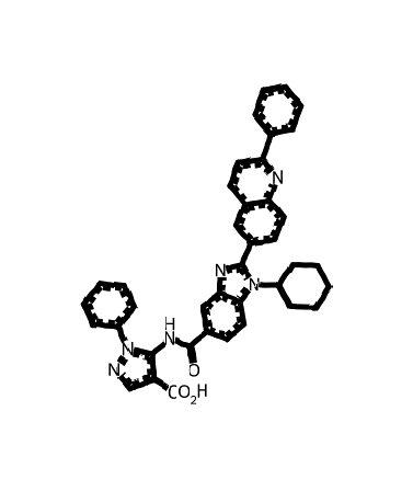 O=C(Nc1c(C(=O)O)cnn1-c1ccccc1)c1ccc2c(c1)nc(-c1ccc3nc(-c4ccccc4)ccc3c1)n2C1CCCCC1